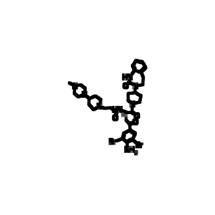 CN1CCN(C2CCN(CCC(=O)N[C@@H](CC(=O)c3cc(Br)c(N)c(Br)c3)C(=O)N3CCC(N4CCc5ccccc5NC4=O)CC3)CC2)CC1